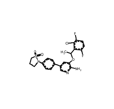 CC(Oc1cc(-c2ccc(N3CCCS3(=O)=O)cc2)cnc1N)c1c(F)ccc(F)c1Cl